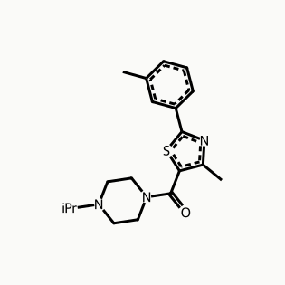 Cc1cccc(-c2nc(C)c(C(=O)N3CCN(C(C)C)CC3)s2)c1